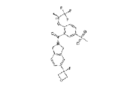 C[C@H](Oc1ccc(S(C)(=O)=O)cc1C(=O)N1Cc2ccc(C3(F)COC3)cc2C1)C(F)(F)F